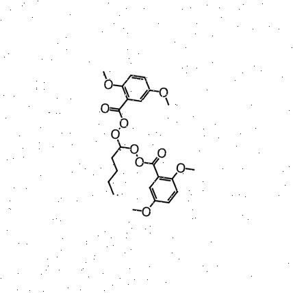 [CH2]CCC[C](OOC(=O)c1cc(OC)ccc1OC)OOC(=O)c1cc(OC)ccc1OC